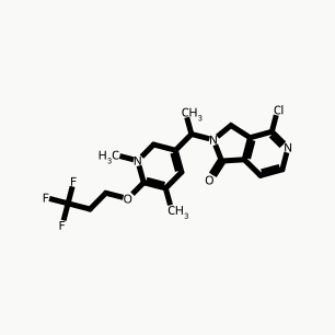 CC1=C(OCCC(F)(F)F)N(C)CC(C(C)N2Cc3c(ccnc3Cl)C2=O)=C1